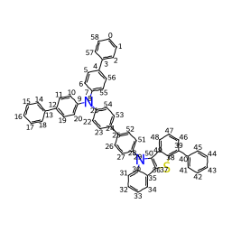 c1ccc(-c2ccc(N(c3ccc(-c4ccccc4)cc3)c3ccc(-c4ccc(-n5c6ccccc6c6sc7c(-c8ccccc8)cccc7c65)cc4)cc3)cc2)cc1